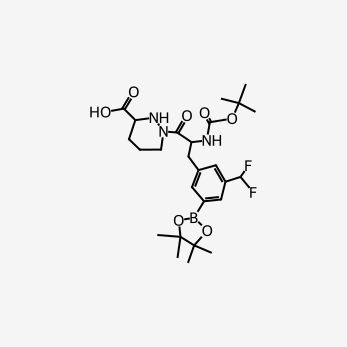 CC(C)(C)OC(=O)NC(Cc1cc(B2OC(C)(C)C(C)(C)O2)cc(C(F)F)c1)C(=O)N1CCCC(C(=O)O)N1